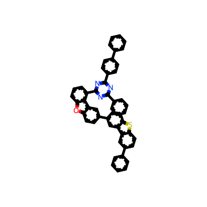 c1ccc(-c2ccc(-c3nc(-c4ccccc4)nc(-c4cccc5oc6ccc(-c7ccc8sc9ccc(-c%10ccccc%10)cc9c8c7)cc6c45)n3)cc2)cc1